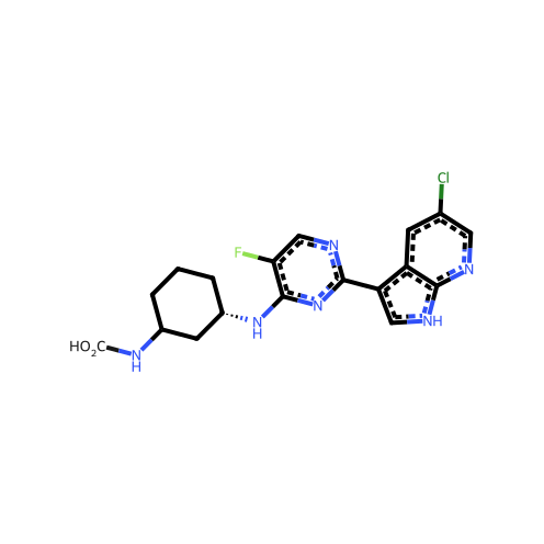 O=C(O)NC1CCC[C@H](Nc2nc(-c3c[nH]c4ncc(Cl)cc34)ncc2F)C1